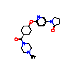 CC(C)N1CCN(C(=O)[C@H]2CC[C@H](Oc3ccc(N4CCCC4=O)cn3)CC2)CC1